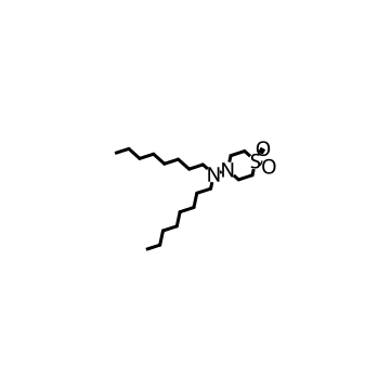 CCCCCCCCN(CCCCCCCC)N1CCS(=O)(=O)CC1